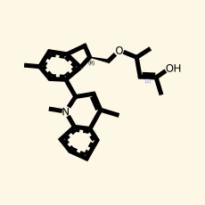 CC1=CC(c2cc(C)cc3c2[C@H](COC(C)/C=C(/C)O)C3)N(C)c2ccccc21